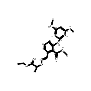 CCOC(=O)C(C)O/N=C/c1cccc(Oc2nc(OC)cc(OC)n2)c1C(=O)OC